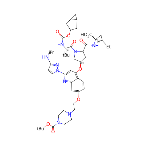 CCC1C[C@]1(NC(=O)C1C[C@@H](Oc2cc(-n3ccc(NC(C)C)n3)nc3cc(OCCN4CCN(C(=O)OC(C)(C)C)CC4)ccc23)CN1C(=O)[C@@H](NC(=O)OC1CC2CC2C1)C(C)(C)C)C(=O)O